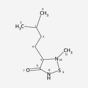 CC(C)CCC1C(=O)NSN1C